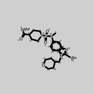 CNC(=O)C1CCN(S(=O)(=O)N(C)c2ccc3c(c2)nc(C(C)(C)C)n3CC2CCOCC2)CC1